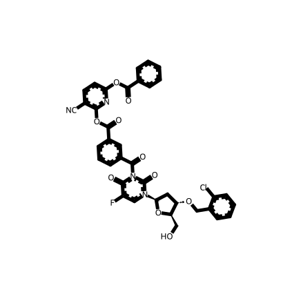 N#Cc1ccc(OC(=O)c2ccccc2)nc1OC(=O)c1cccc(C(=O)n2c(=O)c(F)cn([C@H]3C[C@H](OCc4ccccc4Cl)[C@@H](CO)O3)c2=O)c1